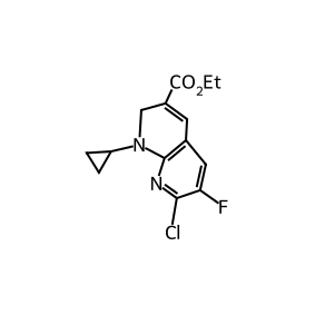 CCOC(=O)C1=Cc2cc(F)c(Cl)nc2N(C2CC2)C1